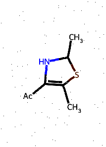 CC(=O)C1=C(C)SC(C)N1